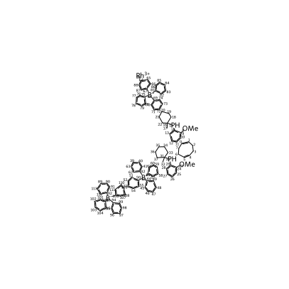 C1=C\CC/C=C\CC/1.COc1ccccc1PC1(C)CCCCC1.COc1ccccc1PC1(C)CCCCC1.[Rh+3].c1ccc([B-](c2ccccc2)(c2ccccc2)c2ccccc2)cc1.c1ccc([B-](c2ccccc2)(c2ccccc2)c2ccccc2)cc1.c1ccc([B-](c2ccccc2)(c2ccccc2)c2ccccc2)cc1